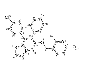 Cc1nc(C(F)(F)F)ccc1COc1nn2cnnc2c(-c2ccc(Cl)cc2)c1-c1ccncc1